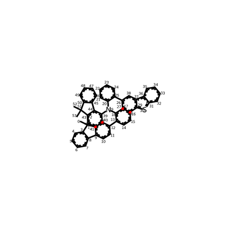 CC1(C)c2ccccc2-c2ccc(-c3ccccc3N(c3ccccc3-c3ccc4sc5ccccc5c4c3)c3cccc4c3-c3ccccc3C4(C)C)cc21